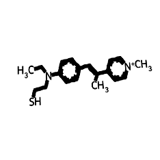 CCN(CCS)c1ccc(/C=C(\C)c2cc[n+](C)cc2)cc1